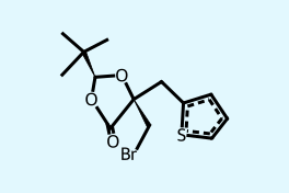 CC(C)(C)[C@@H]1OC(=O)[C@@](CBr)(Cc2cccs2)O1